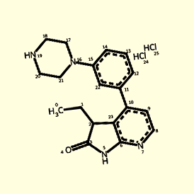 CCC1C(=O)Nc2nccc(-c3cccc(N4CCNCC4)c3)c21.Cl.Cl